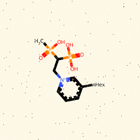 CCCCCCc1ccc[n+](CC(P(C)(=O)O)P(=O)(O)O)c1